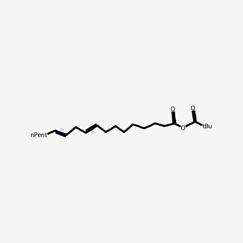 CCCCC/C=C/C/C=C/CCCCCCCC(=O)OC(=O)C(C)(C)C